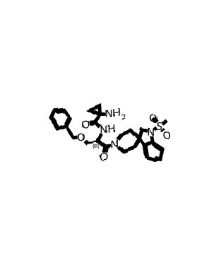 CS(=O)(=O)N1CC2(CCN(C(=O)[C@@H](COCc3ccccc3)NC(=O)C3(N)CC3)CC2)c2ccccc21